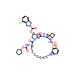 O=C(N[C@H]1CCCCCCCNc2ccccc2S(=O)(=O)NC(=O)C2(CC23CCC3)NC(=O)[C@@H]2C[C@@H](OC(=O)N3Cc4cccc(F)c4C3)CN2C1=O)OC1CCCC1